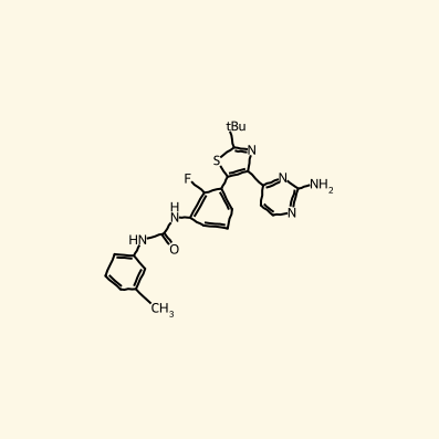 Cc1cccc(NC(=O)Nc2cccc(-c3sc(C(C)(C)C)nc3-c3ccnc(N)n3)c2F)c1